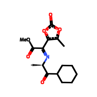 [CH2][C@H](N=C(C(=O)OC)c1oc(=O)oc1C)C(=O)C1CCCCC1